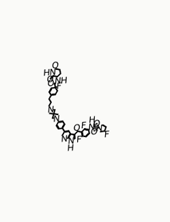 O=C1CC[C@H](NC(=O)C2(F)C=CC(CCCN3CC4(C3)CN(c3ccc(-c5cnc6[nH]cc(C(=O)c7c(F)ccc(NS(=O)(=O)N8CC[C@@H](F)C8)c7F)c6c5)cc3)C4)=CC2)C(=O)N1